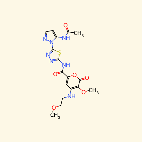 COCCNc1cc(C(=O)Nc2nnc(-n3nccc3NC(C)=O)s2)oc(=O)c1OC